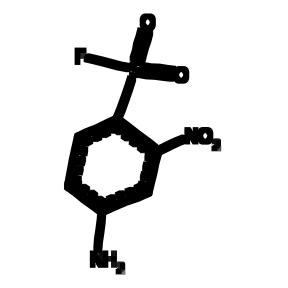 Nc1ccc(S(=O)(=O)F)c([N+](=O)[O-])c1